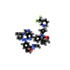 CNC(=O)c1cc(Nc2nc(-c3ccc4c(c3)N([C@H]3C[C@@H](N5CCC[C@H](C(F)F)C5)C3)C(=O)C4(C)C)cc3ncn(C(C)C)c23)ccc1C